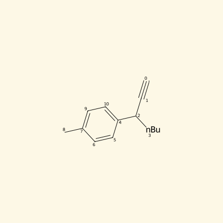 [C]#CC(CCCC)c1ccc(C)cc1